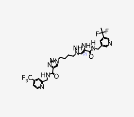 CC(F)(F)c1cncc(CNC(=O)/C(N)=C/N(N)CCCCn2cc(C(=O)NCc3cc(C(F)(F)F)ccn3)nn2)c1